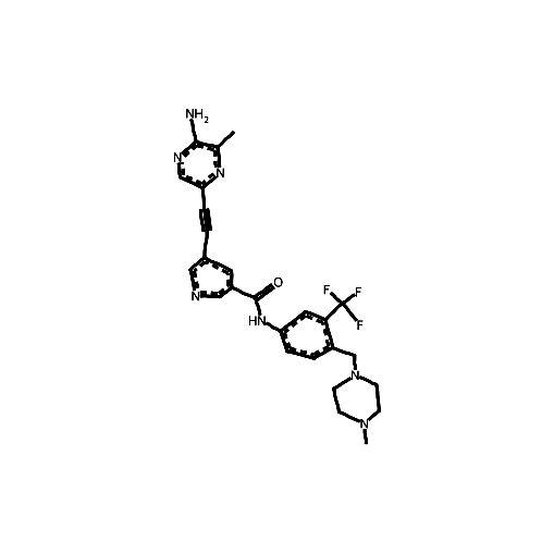 Cc1nc(C#Cc2cncc(C(=O)Nc3ccc(CN4CCN(C)CC4)c(C(F)(F)F)c3)c2)cnc1N